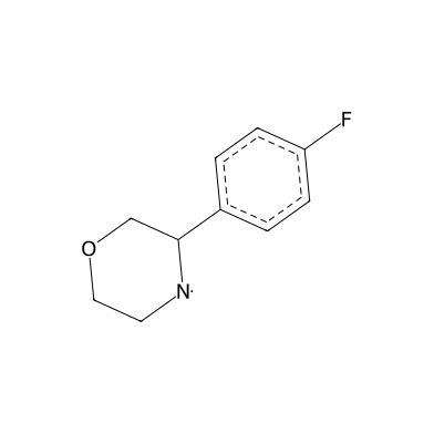 Fc1ccc(C2COCC[N]2)cc1